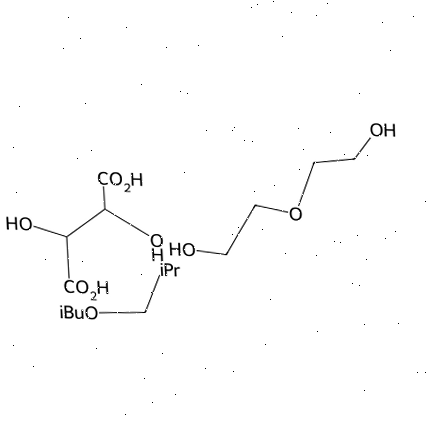 CC(C)COCC(C)C.O=C(O)C(O)C(O)C(=O)O.OCCOCCO